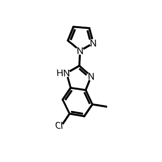 Cc1cc(Cl)cc2[nH]c(-n3cccn3)nc12